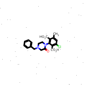 Cc1cc(Cl)c(C(=O)O)c(N2CCN(Cc3ccccc3)CC2=O)c1C(=O)O